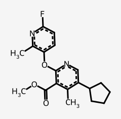 COC(=O)c1c(Oc2ccc(F)nc2C)ncc(C2CCCC2)c1C